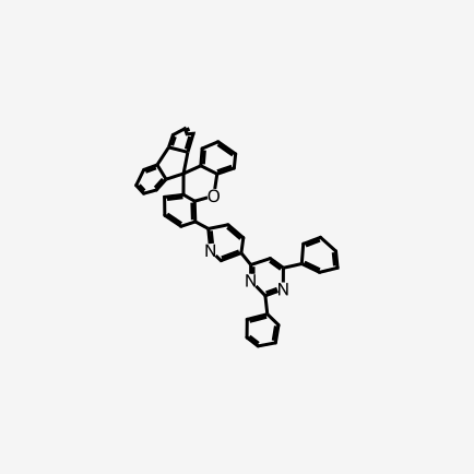 c1ccc(-c2cc(-c3ccc(-c4cccc5c4Oc4ccccc4C54c5ccccc5-c5ccccc54)nc3)nc(-c3ccccc3)n2)cc1